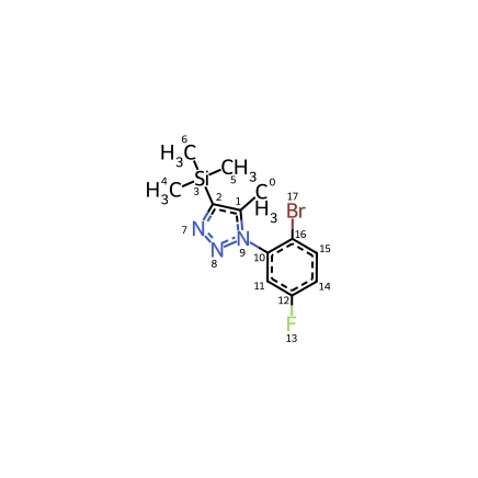 Cc1c([Si](C)(C)C)nnn1-c1cc(F)ccc1Br